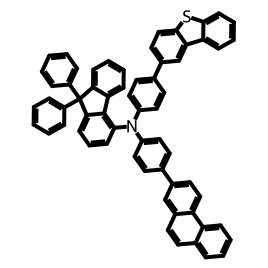 c1ccc(C2(c3ccccc3)c3ccccc3-c3c(N(c4ccc(-c5ccc6c(ccc7ccccc76)c5)cc4)c4ccc(-c5ccc6sc7ccccc7c6c5)cc4)cccc32)cc1